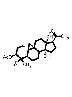 C=C(C)[C@H]1CC[C@@]2(C)C3CCC4C(C)(C)[C@@H](OC(C)=O)CC[C@@]45C[C@@]35CC[C@]12C